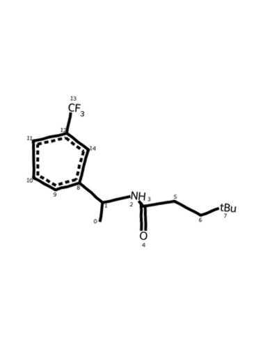 CC(NC(=O)CCC(C)(C)C)c1cccc(C(F)(F)F)c1